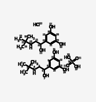 CC(C)(C)NCC(O)c1cc(O)cc(O)c1.CC(C)(C)NCC(O)c1cc(O)cc(O)c1.Cl.O=S(=O)(O)O